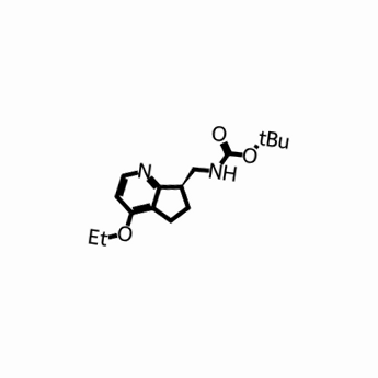 CCOc1ccnc2c1CC[C@@H]2CNC(=O)OC(C)(C)C